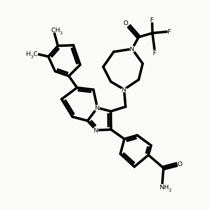 Cc1ccc(-c2ccc3nc(-c4ccc(C(N)=O)cc4)c(CN4CCCN(C(=O)C(F)(F)F)CC4)n3c2)cc1C